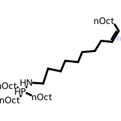 CCCCCCCC/C=C\CCCCCCCCN[PH](CCCCCCCC)(CCCCCCCC)CCCCCCCC